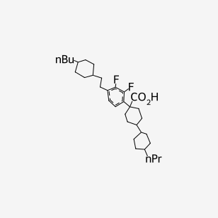 CCCCC1CCC(CCc2ccc(C3(C(=O)O)CCC(C4CCC(CCC)CC4)CC3)c(F)c2F)CC1